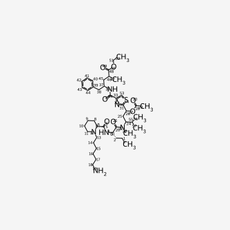 CCC[C@H](NC(=O)[C@@H]1CCCCN1CCCCCCN)C(=O)N(C)C(CC(OC(C)=O)c1nc(C(=O)NC(Cc2ccccc2)CC(C)C(=O)OCC)cs1)C(C)C